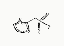 CCS(=O)(=O)Cc1nccs1